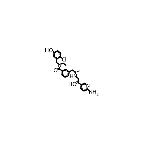 CCN(Cc1cc(O)ccc1Cl)C(=O)c1cccc(C[C@@H](C)NC[C@@H](O)c2ccc(N)nc2)c1